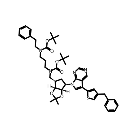 CC(C)(C)OC(=O)N(CCCN(C[C@H]1C[C@@H](n2cc(-c3cc(Cc4ccccc4)cs3)c3cncnc32)[C@@H]2OC(C)(C)O[C@H]12)C(=O)OC(C)(C)C)CCc1ccccc1